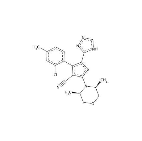 Cc1ccc(-c2c(-c3nnc[nH]3)sc(N3[C@H](C)COC[C@@H]3C)c2C#N)c(Cl)c1